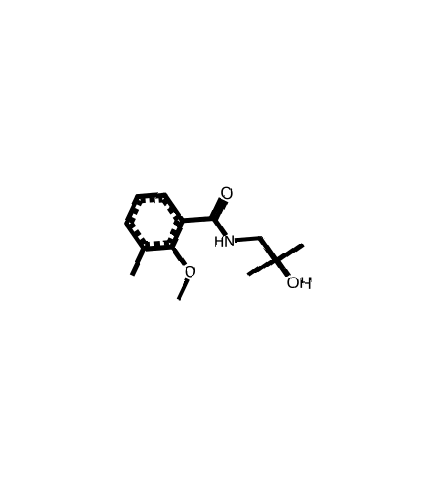 COc1c(C)cccc1C(=O)NCC(C)(C)O